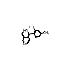 Cc1ccc(-c2nncc3cnccc23)c(O)c1